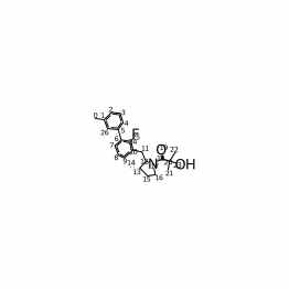 Cc1cccc(-c2cccc(CC3[C@@H](C)CCN3C(=O)C(C)(C)O)c2F)c1